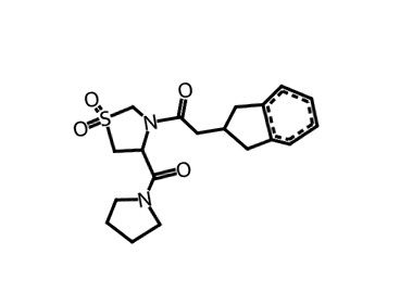 O=C(C1CS(=O)(=O)CN1C(=O)CC1Cc2ccccc2C1)N1CCCC1